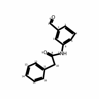 O=Cc1cccc(NC(=O)Cc2ccccc2)c1